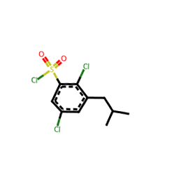 CC(C)Cc1cc(Cl)cc(S(=O)(=O)Cl)c1Cl